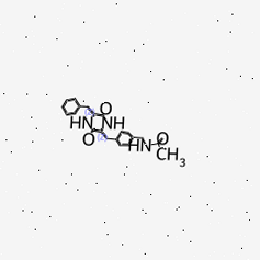 CC(=O)NCc1ccc(/C=c2\[nH]c(=O)/c(=C/c3ccccc3)[nH]c2=O)cc1